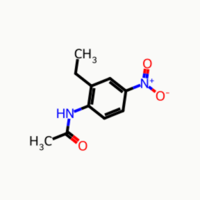 CCc1cc([N+](=O)[O-])ccc1NC(C)=O